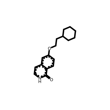 O=c1[nH]ccc2cc(OCCC3CCCCC3)ccc12